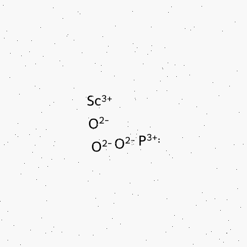 [O-2].[O-2].[O-2].[P+3].[Sc+3]